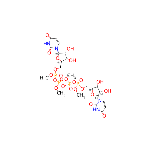 COP(=O)(OC[C@H]1O[C@@H](n2ccc(=O)[nH]c2=O)C(O)C1O)OP(=O)(OC)OP(=O)(OC)OP(=O)(OC)OC[C@H]1O[C@@H](n2ccc(=O)[nH]c2=O)[C@@H](O)C1O